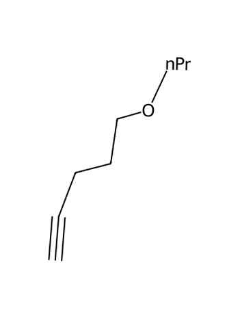 C#CCCCOCC[CH2]